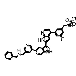 CS(=O)(=O)NCc1cc(F)cc(-c2ccnc3[nH]c(-c4n[nH]c5cnc(-c6cncc(CNCc7ccccc7)c6)cc45)cc23)c1